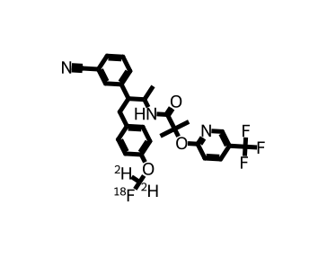 [2H]C([2H])([18F])Oc1ccc(CC(c2cccc(C#N)c2)C(C)NC(=O)C(C)(C)Oc2ccc(C(F)(F)F)cn2)cc1